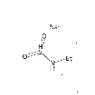 CCN[SH](=O)=O.[Na]